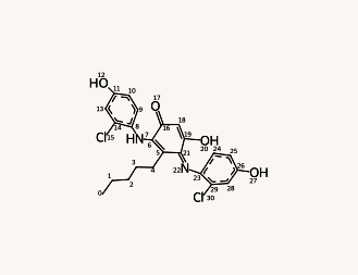 CCCCCC1=C(Nc2ccc(O)cc2Cl)C(=O)C=C(O)/C1=N\c1ccc(O)cc1Cl